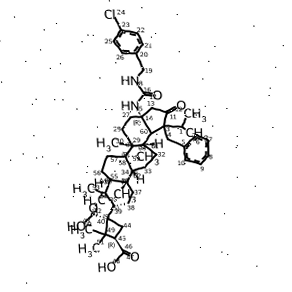 CC(C)C1(Cc2ccccc2)C(=O)C[C@]2(NC(=O)NCc3ccc(Cl)cc3)CC[C@]3(C)[C@@H](CC[C@@H]4[C@]5(C)CC[C@H]([C@@]6(C(=O)O)C[C@@H](C(=O)O)C6(C)C)C(C)(C)[C@H]5CC[C@]43C)C12